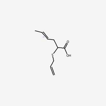 C=CCSC(C/C=C/C)C(=O)O